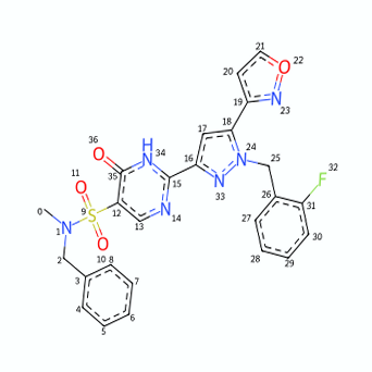 CN(Cc1ccccc1)S(=O)(=O)c1cnc(-c2cc(-c3ccon3)n(Cc3ccccc3F)n2)[nH]c1=O